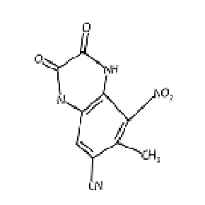 Cc1c(C#N)cc2c(c1[N+](=O)[O-])NC(=O)C(=O)[N]2